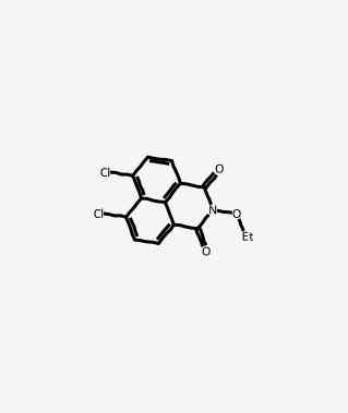 CCON1C(=O)c2ccc(Cl)c3c(Cl)ccc(c23)C1=O